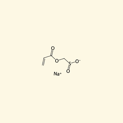 C=CC(=O)OCS(=O)[O-].[Na+]